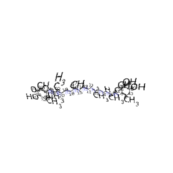 CC1=C(/C=C/C(C)=C/C=C/C(C)=C/C=C/C=C(C)/C=C/C=C(C)/C=C/C2=C(C)C(=O)C(O)CC2(C)C)C(C)(C)C(O)C(O)C1